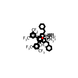 Cc1cc(-c2cc(C(F)(F)F)cc(C(F)(F)F)c2)c2c(c1)[CH]([Zr]([CH3])([CH3])(=[SiH2])[CH]1C(CC3CCCCC3)=Cc3c(-c4cc(C(F)(F)F)cc(C(F)(F)F)c4)cc(C)cc31)C(CC1CCCCC1)=C2.Cl.Cl